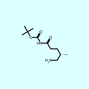 C[C@H](CN)CCC(=O)NC(=O)OC(C)(C)C